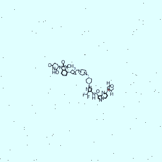 Cn1c(=O)n(C2CCC(=O)NC2=O)c2cccc([C@H]3C[C@]4(CN5CCN(C[C@H]6CC[C@H](n7cc(NC(=O)c8cnn9ccc(N%10C[C@H]%11C[C@@H]%10CO%11)nc89)c(C(F)F)n7)CC6)CC5)CC34)c21